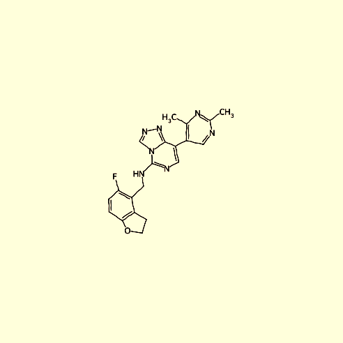 Cc1ncc(-c2cnc(NCc3c(F)ccc4c3CCO4)n3cnnc23)c(C)n1